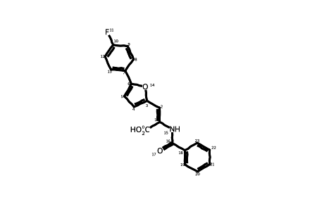 O=C(O)/C(=C\c1ccc(-c2ccc(F)cc2)o1)NC(=O)c1ccccc1